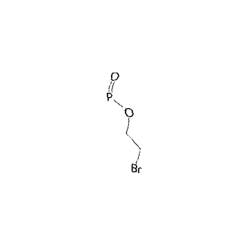 O=POCCBr